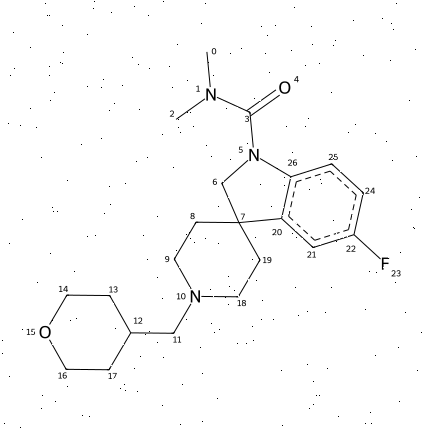 CN(C)C(=O)N1CC2(CCN(CC3CCOCC3)CC2)c2cc(F)ccc21